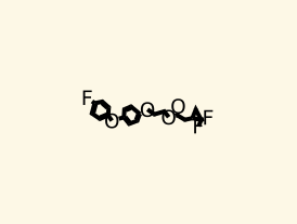 O=C(CC1CC1(F)F)OCCOc1ccc(Oc2ccc(F)cc2)cc1